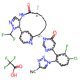 C[C@@H]1CCC[C@H](n2cnc(-c3c(-n4cc(C#N)nn4)ccc(Cl)c3F)cc2=O)c2cc(ccn2)-c2c(cnn2C(F)F)NC1=O.O=C(O)C(F)(F)F